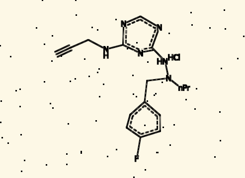 C#CCNc1ncnc(NN(CCC)Cc2ccc(F)cc2)n1.Cl